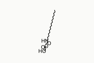 CCCCCCCCCCCCCCCCCCNC(=O)COC(=O)CO